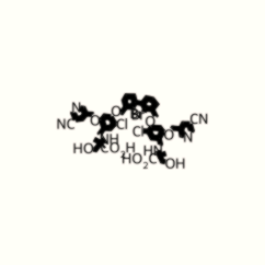 CC(CO)(NCc1cc(Cl)c(OCc2cccc(-c3cccc(COc4cc(OCc5cncc(C#N)c5)c(CN[C@@](C)(CO)C(=O)O)cc4Cl)c3Br)c2Br)cc1OCc1cncc(C#N)c1)C(=O)O